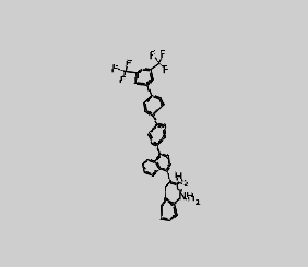 C=C(Cc1ccccc1N)c1ccc(-c2ccc(-c3ccc(-c4cc(C(F)(F)F)cc(C(F)(F)F)c4)cc3)cc2)c2ccccc12